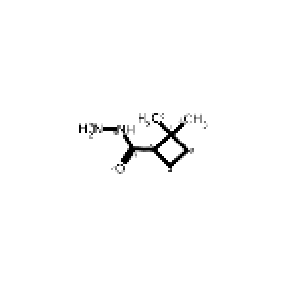 CC1(C)CCC1C(=O)NN